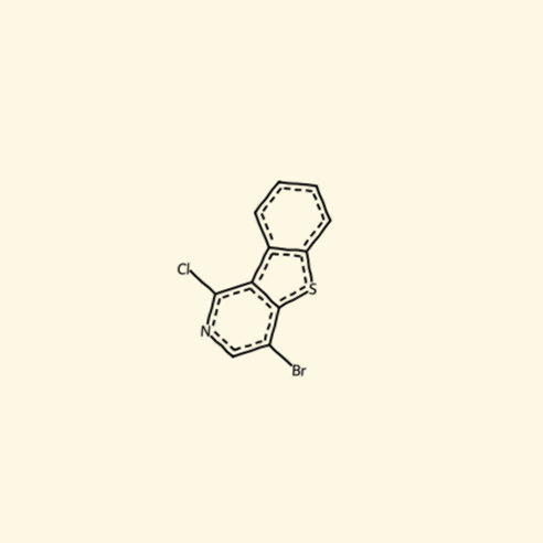 Clc1ncc(Br)c2sc3ccccc3c12